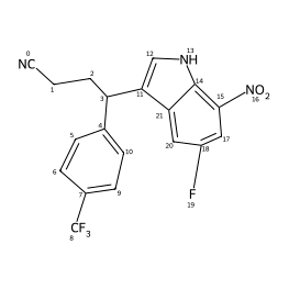 N#CCCC(c1ccc(C(F)(F)F)cc1)c1c[nH]c2c([N+](=O)[O-])cc(F)cc12